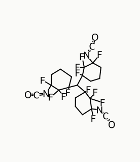 O=C=NC1(F)CCCC(F)(C(C2(F)CCCC(F)(N=C=O)C2(F)F)C2(F)CCCC(F)(N=C=O)C2(F)F)C1(F)F